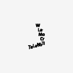 [Cr].[La].[La].[Mo].[Nb].[Ta].[Ti].[W]